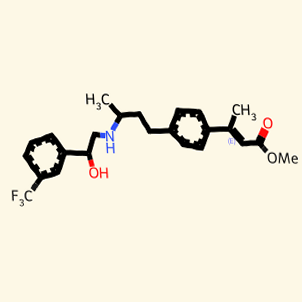 COC(=O)/C=C(\C)c1ccc(CCC(C)NCC(O)c2cccc(C(F)(F)F)c2)cc1